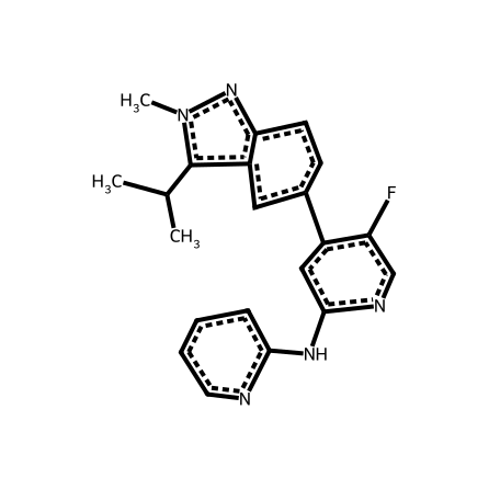 CC(C)c1c2cc(-c3cc(Nc4ccccn4)ncc3F)ccc2nn1C